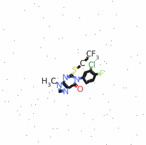 Cn1cnc2c(=O)n(-c3ccc(F)c(Cl)c3)c(SCCCC(F)(F)F)nc21